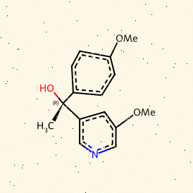 COc1ccc([C@@](C)(O)c2cncc(OC)c2)cc1